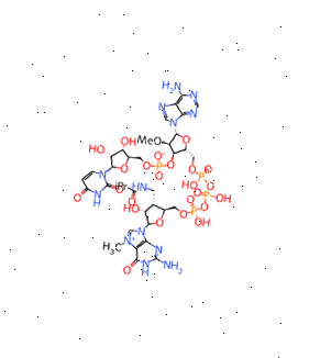 CO[C@@H]1[C@H](OP(=O)([O-])OC[C@H]2O[C@@H](n3ccc(=O)[nH]c3=O)[C@H](O)[C@@H]2O)[C@@H](COP(=O)(O)OP(=O)(O)OP(=O)(O)OC[C@H]2O[C@@H](n3c[n+](C)c4c(=O)[nH]c(N)nc43)[C@H](O)[C@@H]2CNC(=O)C(C)C)O[C@H]1n1cnc2c(N)ncnc21